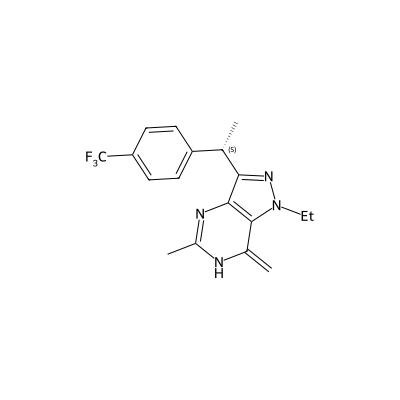 C=C1NC(C)=Nc2c([C@@H](C)c3ccc(C(F)(F)F)cc3)nn(CC)c21